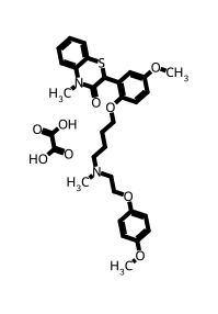 COc1ccc(OCCN(C)CCCCOc2ccc(OC)cc2C2Sc3ccccc3N(C)C2=O)cc1.O=C(O)C(=O)O